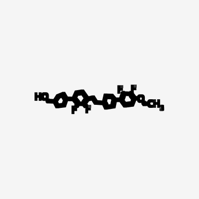 CCOc1ccc(-c2ccc(CCc3ccc(C4=CCC(CO)CC4)c(F)c3F)cc2)c(F)c1F